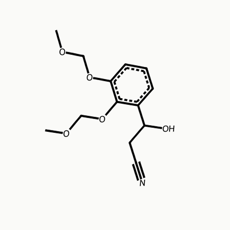 COCOc1cccc(C(O)CC#N)c1OCOC